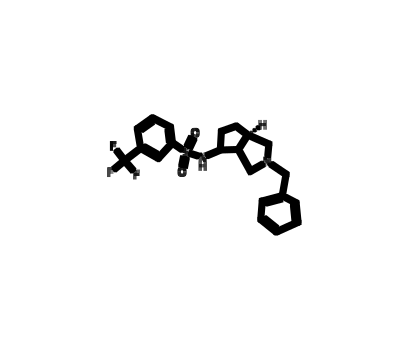 O=S(=O)(NC1CC[C@H]2CN(Cc3ccccc3)CC12)c1cccc(C(F)(F)F)c1